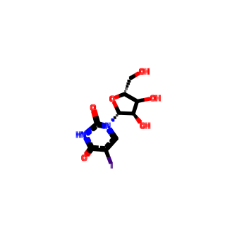 O=c1[nH]c(=O)n([C@@H]2O[C@H](CO)C(O)[C@H]2O)cc1I